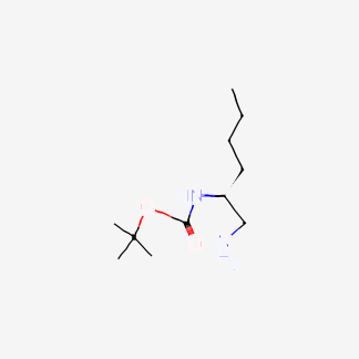 CCCC[C@@H](CN)NC(=O)OC(C)(C)C